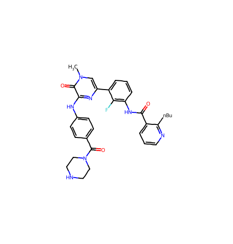 CCCCc1ncccc1C(=O)Nc1cccc(-c2cn(C)c(=O)c(Nc3ccc(C(=O)N4CCNCC4)cc3)n2)c1F